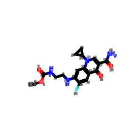 CC(C)(C)OC(=O)NCCNc1cc2c(cc1F)c(=O)c(C(N)=O)cn2C1CC1